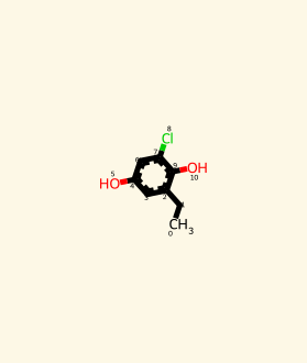 CCc1cc(O)cc(Cl)c1O